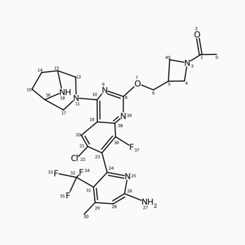 CC(=O)N1CC(COc2nc(N3CC4CCC(C3)N4)c3cc(Cl)c(-c4nc(N)cc(C)c4C(F)(F)F)c(F)c3n2)C1